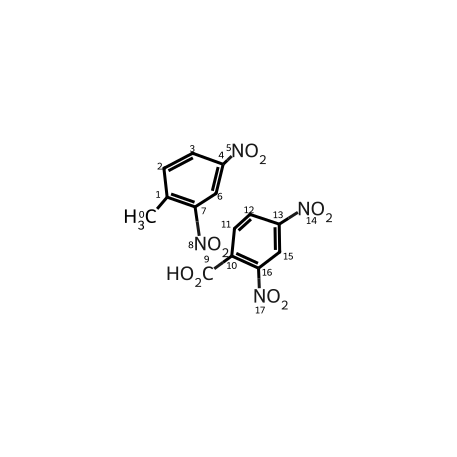 Cc1ccc([N+](=O)[O-])cc1[N+](=O)[O-].O=C(O)c1ccc([N+](=O)[O-])cc1[N+](=O)[O-]